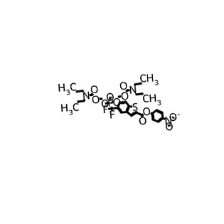 CCCN(CCC)C(=O)OCOP(=O)(OCOC(=O)N(CCC)CCC)C(F)(F)c1ccc2sc(C(=O)Oc3ccc([N+](=O)[O-])cc3)cc2c1